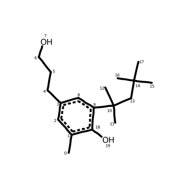 Cc1cc(CCCO)cc(C(C)(C)CC(C)(C)C)c1O